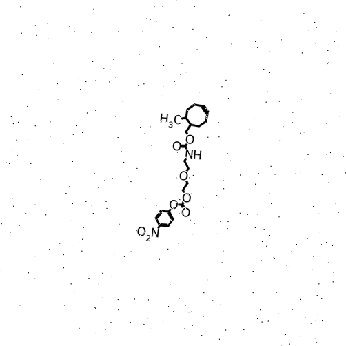 CC1CCC#CCCC1COC(=O)NCCOCCOC(=O)Oc1ccc([N+](=O)[O-])cc1